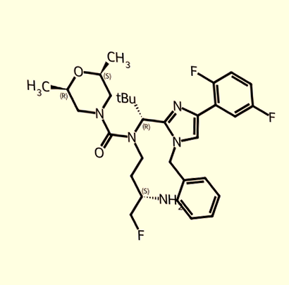 C[C@@H]1CN(C(=O)N(CC[C@H](N)CF)[C@@H](c2nc(-c3cc(F)ccc3F)cn2Cc2ccccc2)C(C)(C)C)C[C@H](C)O1